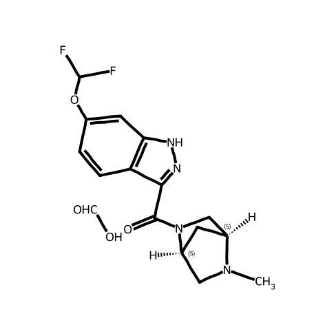 CN1C[C@@H]2C[C@H]1CN2C(=O)c1n[nH]c2cc(OC(F)F)ccc12.O=CO